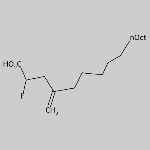 C=C(CCCCCCCCCCCCC)CC(F)C(=O)O